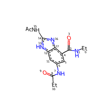 CCNC(=O)c1cc(NC(=O)CC)cc2[nH]c(NC(C)=O)nc12